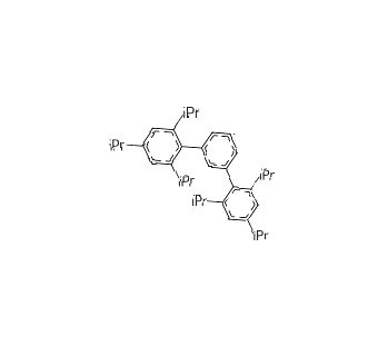 CC(C)c1cc(C(C)C)c(-c2c[c]cc(-c3c(C(C)C)cc(C(C)C)cc3C(C)C)c2)c(C(C)C)c1